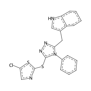 Clc1cnc(Sc2nnc(Cc3c[nH]c4ccccc34)n2-c2ccccc2)s1